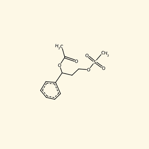 CC(=O)OC(CCOS(C)(=O)=O)c1ccccc1